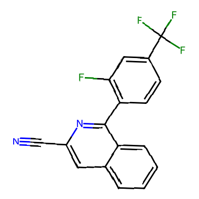 N#Cc1cc2ccccc2c(-c2ccc(C(F)(F)F)cc2F)n1